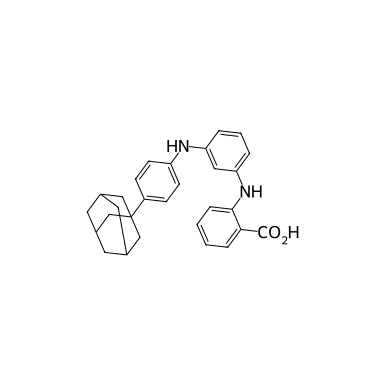 O=C(O)c1ccccc1Nc1cccc(Nc2ccc(C34CC5CC(CC(C5)C3)C4)cc2)c1